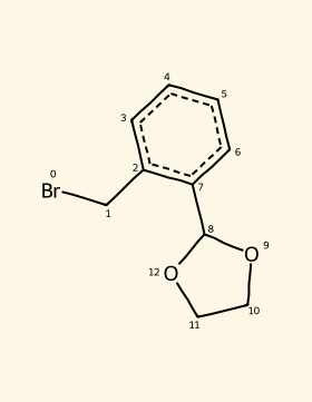 BrCc1ccccc1C1OCCO1